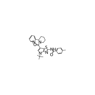 Cc1ccc(C(=O)Nc2nc3c(s2)c(C(=O)N2CCCCC2c2ccccn2)cn3C(C)(C)C)cc1